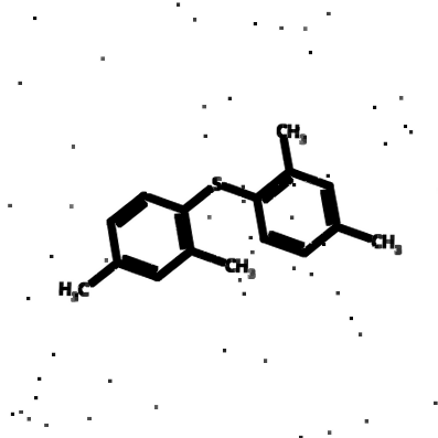 Cc1ccc(Sc2ccc(C)cc2C)c(C)c1